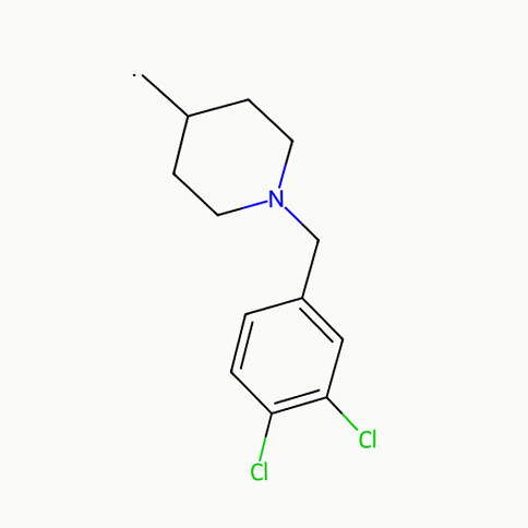 [CH2]C1CCN(Cc2ccc(Cl)c(Cl)c2)CC1